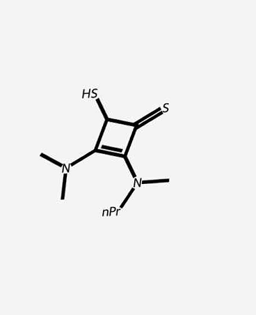 CCCN(C)C1=C(N(C)C)C(S)C1=S